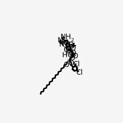 CCCCCCCCCCCCCCCCCCOC[C@H](COP(=O)(O)OC1[C@H]2O[C@@](C)(c3ccc4c(N)ncnn34)[C@@H]3OC(C)(C)O[C@]123)OCc1ccc(Cl)cc1Cl